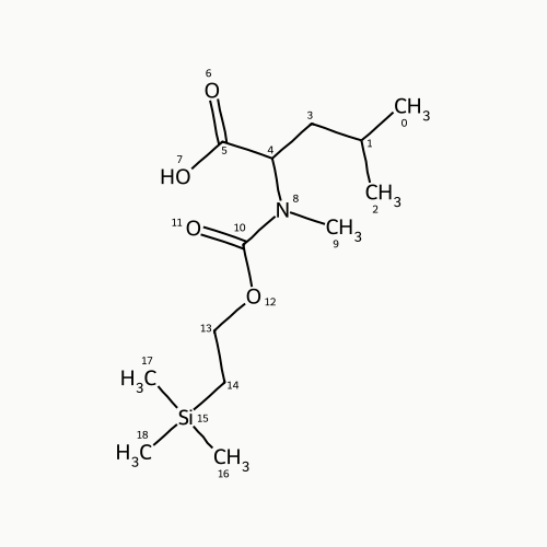 CC(C)CC(C(=O)O)N(C)C(=O)OCC[Si](C)(C)C